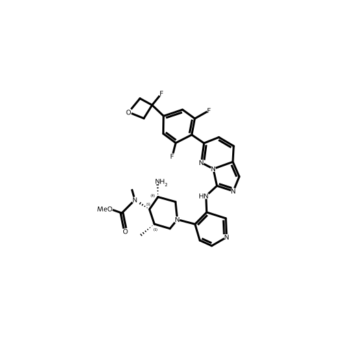 COC(=O)N(C)[C@@H]1[C@H](N)CN(c2ccncc2Nc2ncc3ccc(-c4c(F)cc(C5(F)COC5)cc4F)nn23)C[C@@H]1C